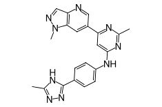 Cc1nc(Nc2ccc(-c3nnc(C)[nH]3)cc2)cc(-c2cnc3cnn(C)c3c2)n1